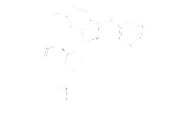 CCC(=O)O[C@H]1O[C@@H](n2c(=O)n(Cc3ccccc3)c3cnc(N)nc32)[C@H](OC(C)=O)[C@H]1F